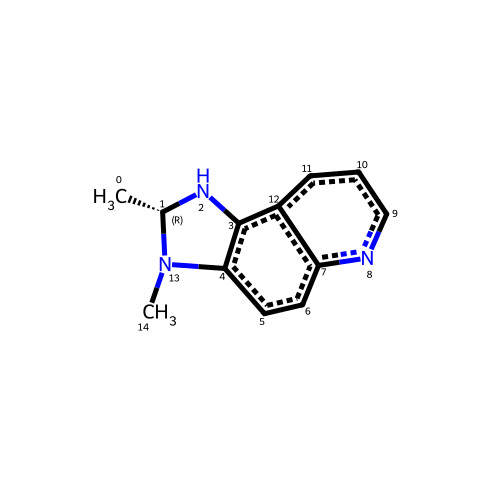 C[C@@H]1Nc2c(ccc3ncccc23)N1C